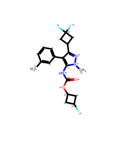 Cc1cccc(-c2c(C3CC(F)(F)C3)nn(C)c2NC(=O)OC2CC(F)C2)c1